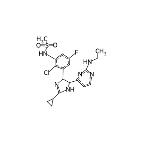 CCNc1nccc(C2NC(C3CC3)=NC2c2cc(F)cc(NS(C)(=O)=O)c2Cl)n1